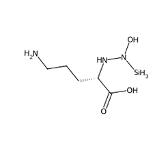 NCCC[C@H](NN(O)[SiH3])C(=O)O